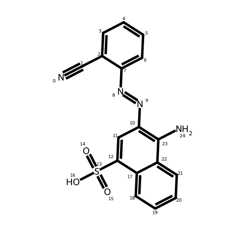 N#Cc1ccccc1/N=N/c1cc(S(=O)(=O)O)c2ccccc2c1N